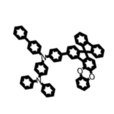 c1ccc(-c2ccc(N(c3ccc(-c4ccc5c(c4)-c4c(ccc6c4Oc4ccccc4O6)C54c5ccccc5-c5ccccc54)cc3)c3ccc(N(c4ccccc4)c4ccccc4)cc3)cc2)cc1